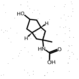 CC1(NC(=O)O)C[C@H]2CC(O)C[C@H]2C1